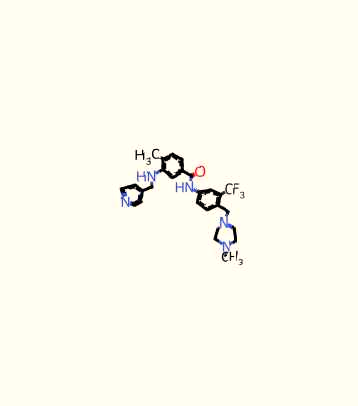 Cc1ccc(C(=O)Nc2ccc(CN3CCN(C)CC3)c(C(F)(F)F)c2)cc1NCc1ccncc1